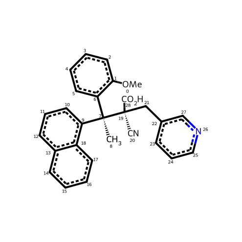 COc1ccccc1[C@](C)(c1cccc2ccccc12)[C@](C#N)(Cc1cccnc1)C(=O)O